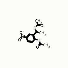 CC(=O)Oc1ccc([N+](=O)[O-])cc1C(C)OC(C)=O